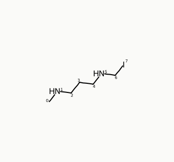 CNCCCNCI